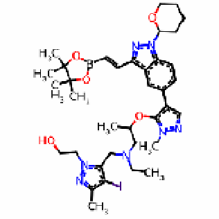 CCN(Cc1c(I)c(C)nn1CCO)CC(C)Oc1c(-c2ccc3c(c2)c(/C=C/B2OC(C)(C)C(C)(C)O2)nn3C2CCCCO2)cnn1C